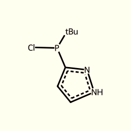 CC(C)(C)P(Cl)c1cc[nH]n1